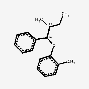 CC[C@@H](C)[C@@H](Oc1ccccc1C)c1ccccc1